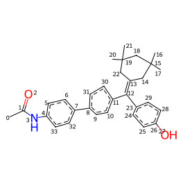 CC(=O)Nc1ccc(-c2ccc(C(=C3CC(C)(C)CC(C)(C)C3)c3ccc(O)cc3)cc2)cc1